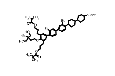 C=C(C)C(=O)OCCCc1cc(-c2ccc(-c3ccc(C4CCC(C5CCC(CCCCC)CC5)CC4)c(CC)c3)cc2CC)cc(CCCOC(=O)C(=C)C)c1OCCC(CO)(CO)CCCC